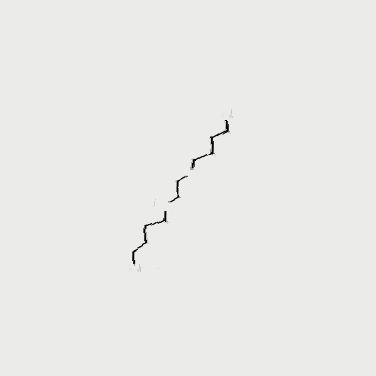 CCCCCCCCCCCCCCPCCPCCCCCCCCCCCCCC